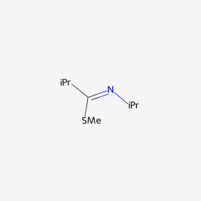 CS/C(=N\C(C)C)C(C)C